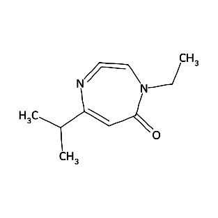 CCN1C=C=NC(C(C)C)=CC1=O